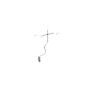 C=CCCCC(CCCC)(NC)C(C)=O